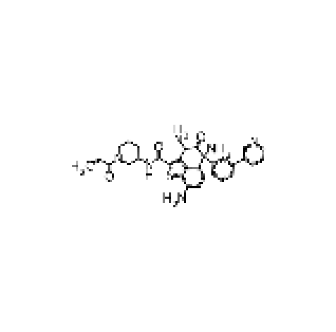 C=CC(=O)N1CCCC(NC(=O)c2sc3c(N)ccc4c3c2C(N)C(=O)C4(N)c2cccc(-c3cccnc3)c2)C1